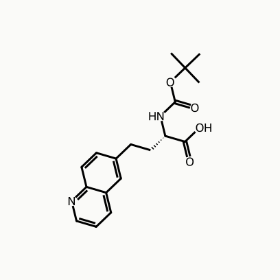 CC(C)(C)OC(=O)N[C@@H](CCc1ccc2ncccc2c1)C(=O)O